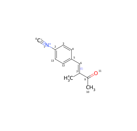 [C-]#[N+]c1ccc(/C=C(\C)C(C)=O)cc1